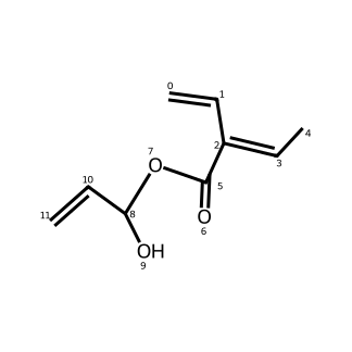 C=C/C(=C\C)C(=O)OC(O)C=C